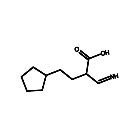 N=CC(CCC1CCCC1)C(=O)O